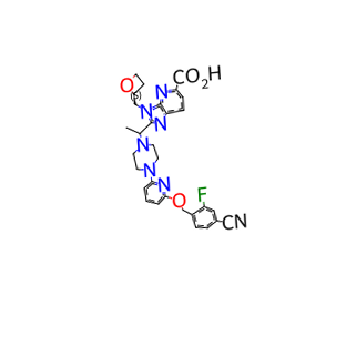 CC(c1nc2ccc(C(=O)O)nc2n1C[C@@H]1CCO1)N1CCN(c2cccc(OCc3ccc(C#N)cc3F)n2)CC1